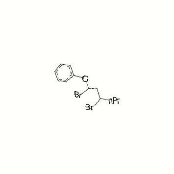 CCCC(Br)CC(Br)Oc1ccccc1